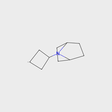 [CH]1CC(N2C3CCC2CC3)C1